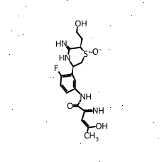 C/C(O)=C/C(=N)C(=O)Nc1ccc(F)c([C@@H]2C[S+]([O-])[C@H](CCO)C(=N)N2)c1